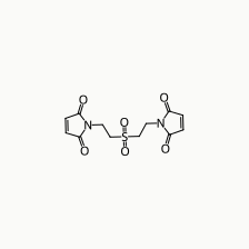 O=C1C=CC(=O)N1CCS(=O)(=O)CCN1C(=O)C=CC1=O